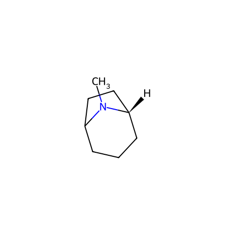 CN1C2CCC[C@H]1CC2